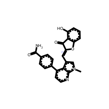 Cn1cc(/C=C2\Oc3cccc(O)c3C2=O)c2c(-c3ccc(C(N)=O)cc3)ccnc21